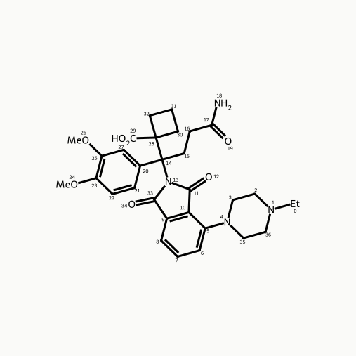 CCN1CCN(c2cccc3c2C(=O)N(C(CCC(N)=O)(c2ccc(OC)c(OC)c2)C2(C(=O)O)CCC2)C3=O)CC1